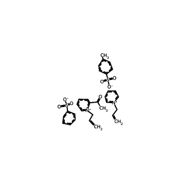 C=CC[n+]1ccccc1.C=CC[n+]1ccccc1C(C)=O.Cc1ccc(S(=O)(=O)[O-])cc1.O=S(=O)([O-])c1ccccc1